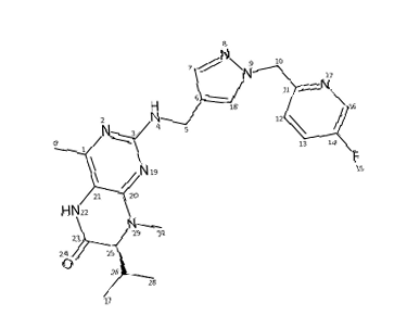 Cc1nc(NCc2cnn(Cc3ccc(F)cn3)c2)nc2c1NC(=O)[C@H](C(C)C)N2C